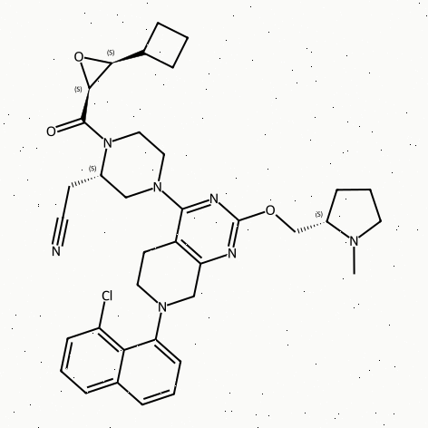 CN1CCC[C@H]1COc1nc2c(c(N3CCN(C(=O)[C@H]4O[C@H]4C4CCC4)[C@@H](CC#N)C3)n1)CCN(c1cccc3cccc(Cl)c13)C2